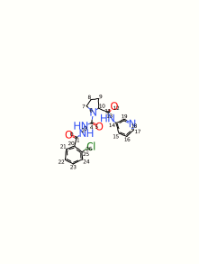 O=C(NNC(=O)N1CCCC1C(=O)Nc1cccnc1)c1ccccc1Cl